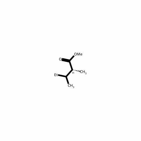 CCC(C)[C@@H](C)C(=O)OC